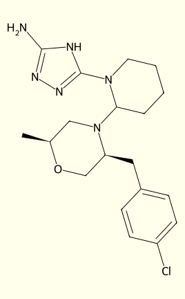 C[C@H]1CN(C2CCCCN2c2nnc(N)[nH]2)[C@@H](Cc2ccc(Cl)cc2)CO1